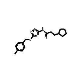 Cc1ccc(CSc2nnc(NC(=O)CCC3CCCC3)s2)cc1